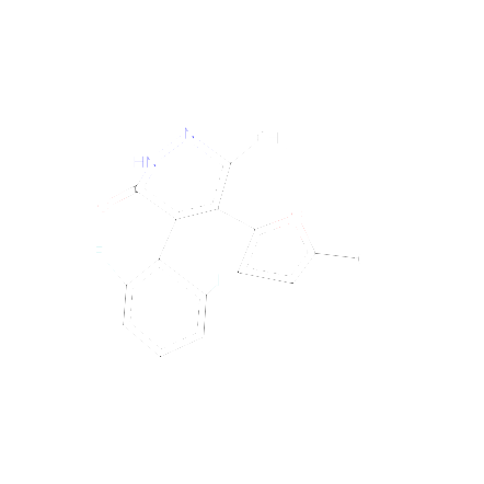 Cc1ccc(-c2c(C)n[nH]c(=O)c2-c2c(F)cccc2F)o1